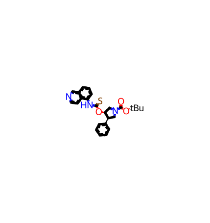 CC(C)(C)OC(=O)N1C[C@H](OC(=S)Nc2cccc3cnccc23)[C@H](c2ccccc2)C1